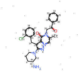 CCc1cn2nc(N3CCC[C@@H](N)C3)c(Cc3ccccc3Cl)c2c(=O)n1CC(=O)c1ccccc1